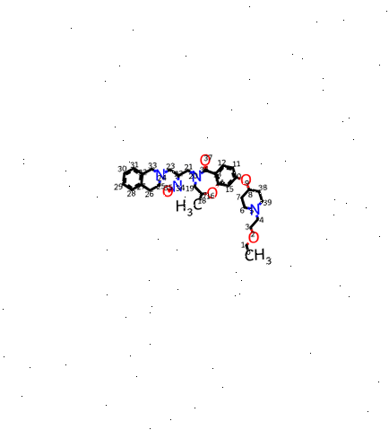 CCOCCN1CCC(Oc2ccc3c(c2)OC(C)CN(CC(CN2CCc4ccccc4C2)N=O)C3=O)CC1